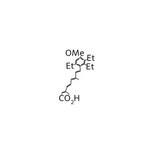 CCc1cc(OC)c(CC)c(CC)c1/C=C/C(C)=C/C=C/C(C)=C/C(=O)O